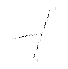 OCCCCCCCCCCOCC(COCCCCCCCCCCO)OCCCCCCCCCCO